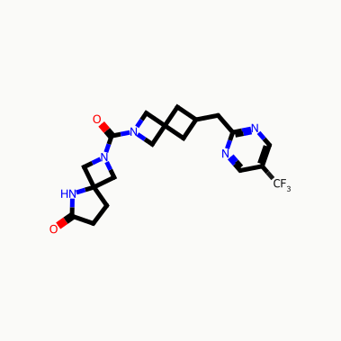 O=C1CCC2(CN(C(=O)N3CC4(CC(Cc5ncc(C(F)(F)F)cn5)C4)C3)C2)N1